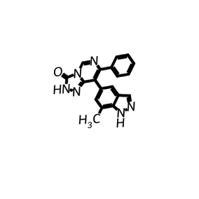 Cc1cc(-c2c(-c3ccccc3)ncn3c(=O)[nH]nc23)cc2cn[nH]c12